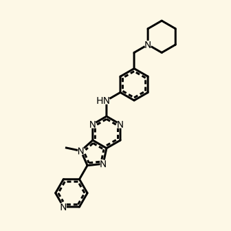 Cn1c(-c2ccncc2)nc2cnc(Nc3cccc(CN4CCCCC4)c3)nc21